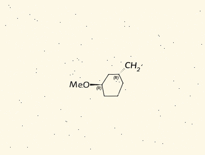 [CH2][C@@H]1CCC[C@@H](OC)C1